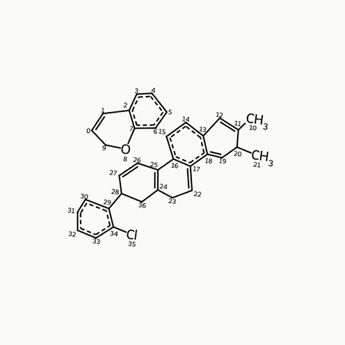 C1=Cc2ccccc2OC1.CC1=Cc2ccc3c(c2=CC1C)=CCC1=C3C=CC(c2ccccc2Cl)C1